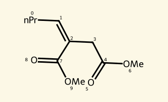 CCCC=C(CC(=O)OC)C(=O)OC